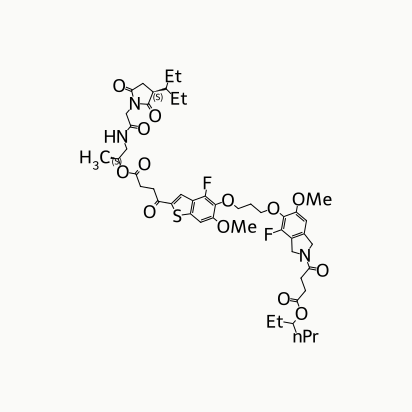 CCCC(CC)OC(=O)CCC(=O)N1Cc2cc(OC)c(OCCCOc3c(OC)cc4sc(C(=O)CCC(=O)O[C@@H](C)CNC(=O)CN5C(=O)C[C@@H](C(CC)CC)C5=O)cc4c3F)c(F)c2C1